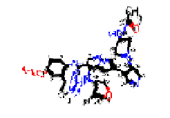 CCc1cc(O)ccc1/N=C(\N)c1cnn2cc(-c3cnccc3N3CCC(NC(C)=O)CC3)cc2c1N[C@@H]1CCOC1